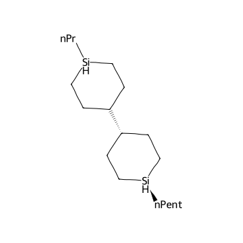 CCCCC[Si@H]1CC[C@H](C2CC[SiH](CCC)CC2)CC1